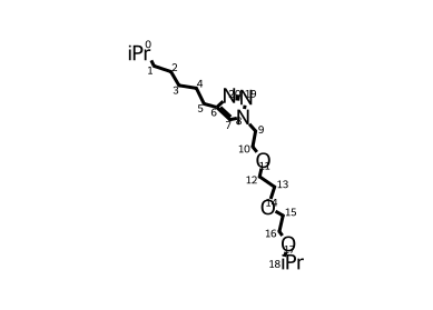 CC(C)CCCCCc1cn(CCOCCOCCOC(C)C)nn1